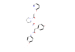 COc1ccc(NC(=O)[C@@H](NC(=O)[C@@H]2CCCN2C(=O)COc2ccccn2)c2ccc(OC)cc2)cc1